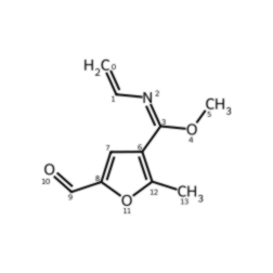 C=C/N=C(/OC)c1cc(C=O)oc1C